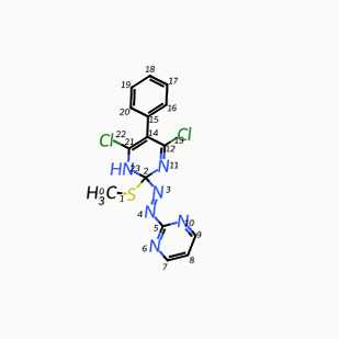 CSC1(N=Nc2ncccn2)N=C(Cl)C(c2ccccc2)=C(Cl)N1